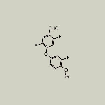 CC(C)Oc1ncc(Oc2cc(F)c(C=O)cc2F)cc1F